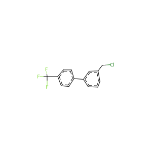 FC(F)(F)c1ccc(-c2cccc(CCl)c2)cc1